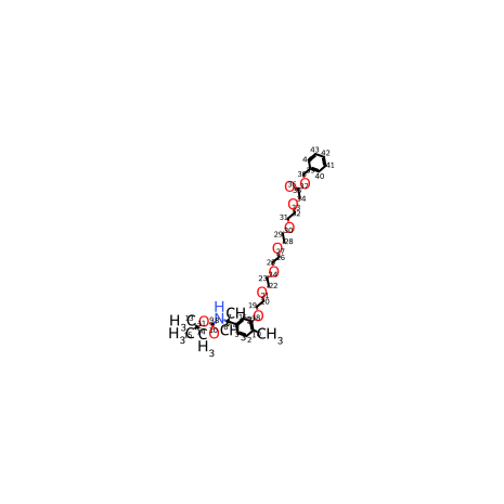 Cc1ccc(C(C)(C)NC(=O)OC(C)(C)C)cc1OCCOCCOCCOCCOCCOCC(=O)OCc1ccccc1